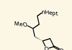 CCCCCCCCCC(C[C@@H]1CC(=O)O1)OC